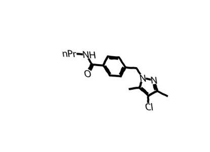 CCCNC(=O)c1ccc(Cn2nc(C)c(Cl)c2C)cc1